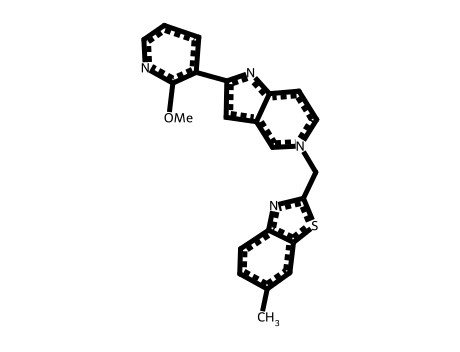 COc1ncccc1-c1cc2cn(Cc3nc4ccc(C)cc4s3)ccc-2n1